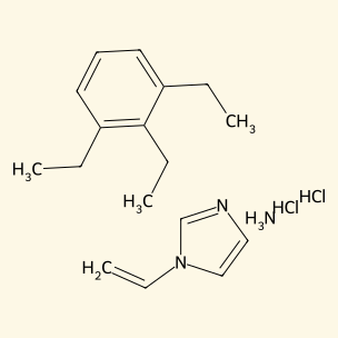 C=Cn1ccnc1.CCc1cccc(CC)c1CC.Cl.Cl.N